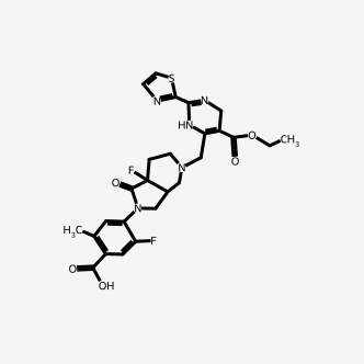 CCOC(=O)C1=C(CN2CCC3(F)C(=O)N(c4cc(C)c(C(=O)O)cc4F)CC3C2)NC(c2nccs2)=NC1